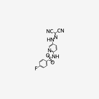 N#CC(C#N)=NNc1ccc(NS(=O)(=O)c2ccc(F)cc2)nc1